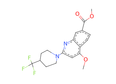 COC(=O)c1ccc2c(OC)cc(N3CCC(C(F)(F)F)CC3)nc2c1